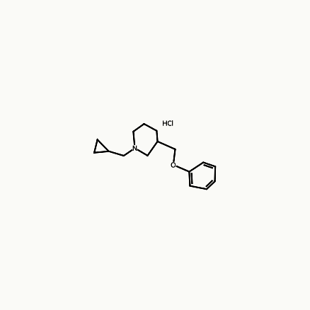 Cl.c1ccc(OCC2CCCN(CC3CC3)C2)cc1